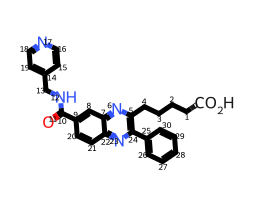 O=C(O)CCCCc1nc2cc(C(=O)NCc3ccncc3)ccc2nc1-c1ccccc1